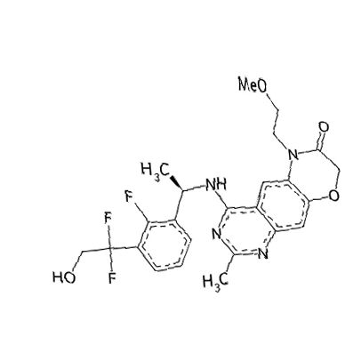 COCCN1C(=O)COc2cc3nc(C)nc(N[C@H](C)c4cccc(C(F)(F)CO)c4F)c3cc21